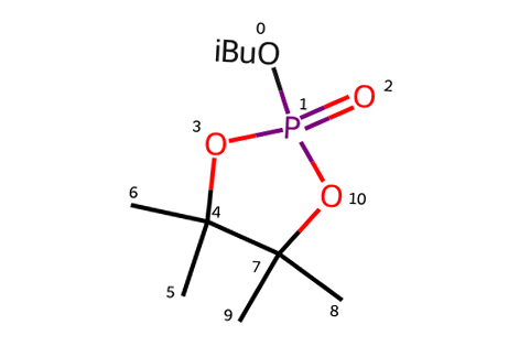 CC(C)COP1(=O)OC(C)(C)C(C)(C)O1